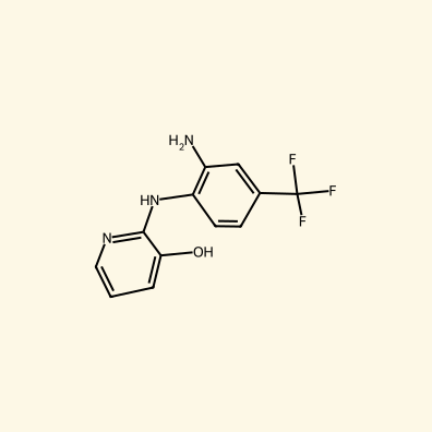 Nc1cc(C(F)(F)F)ccc1Nc1ncccc1O